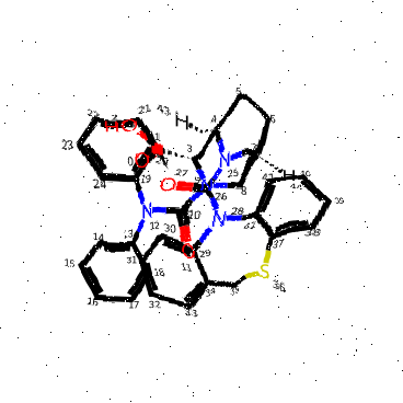 O=C(O)[C@@H]1[C@H]2CC[C@@H](CN1C(=O)N(c1ccccc1)c1ccccc1)N2C(=O)N1c2ccccc2CSc2ccccc21